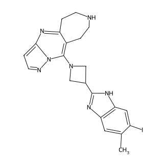 Cc1cc2nc(C3CN(c4c5c(nc6ccnn46)CCNCC5)C3)[nH]c2cc1I